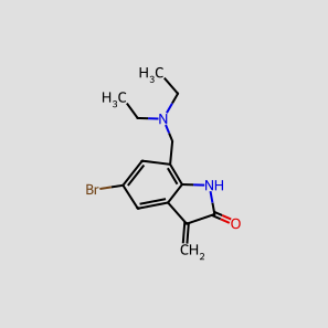 C=C1C(=O)Nc2c(CN(CC)CC)cc(Br)cc21